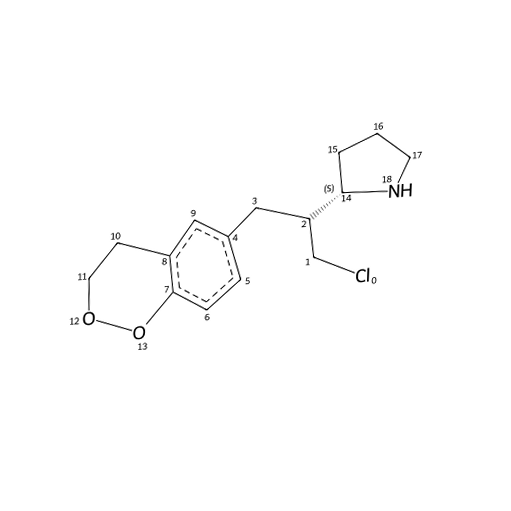 ClCC(Cc1ccc2c(c1)CCOO2)[C@@H]1CCCN1